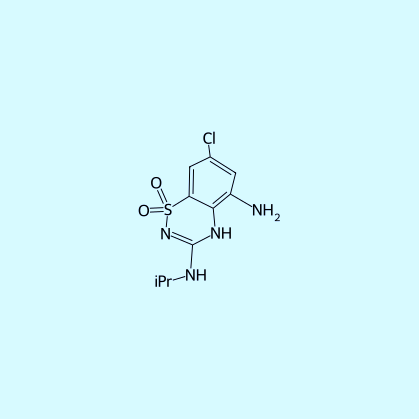 CC(C)NC1=NS(=O)(=O)c2cc(Cl)cc(N)c2N1